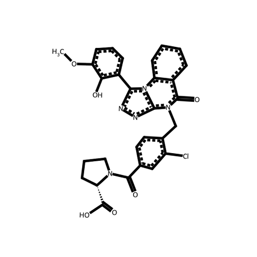 COc1cccc(-c2nnc3n(Cc4ccc(C(=O)N5CCC[C@H]5C(=O)O)cc4Cl)c(=O)c4ccccc4n23)c1O